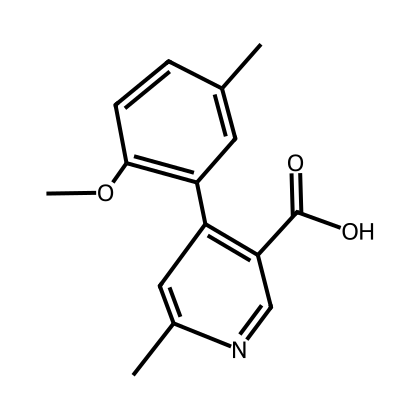 COc1ccc(C)cc1-c1cc(C)ncc1C(=O)O